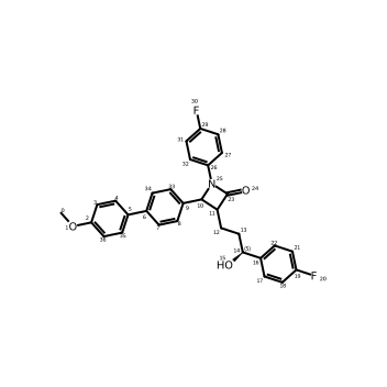 COc1ccc(-c2ccc(C3C(CC[C@H](O)c4ccc(F)cc4)C(=O)N3c3ccc(F)cc3)cc2)cc1